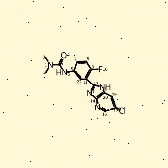 CN(C)C(=O)Nc1ccc(F)c(-c2nc3ncc(Cl)cc3[nH]2)c1